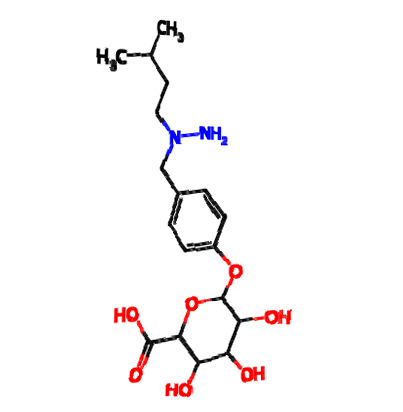 CC(C)CCN(N)Cc1ccc(OC2OC(C(=O)O)C(O)C(O)C2O)cc1